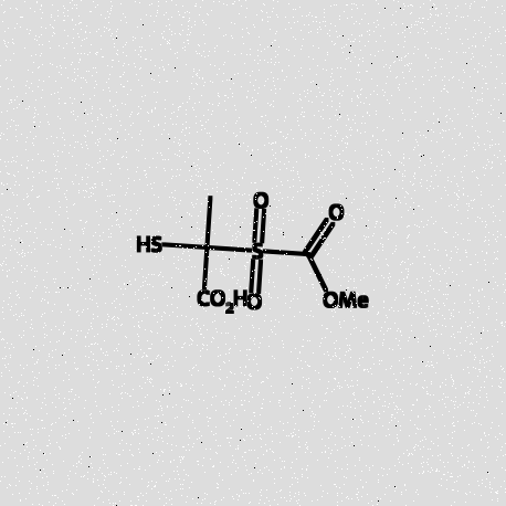 COC(=O)S(=O)(=O)C(C)(S)C(=O)O